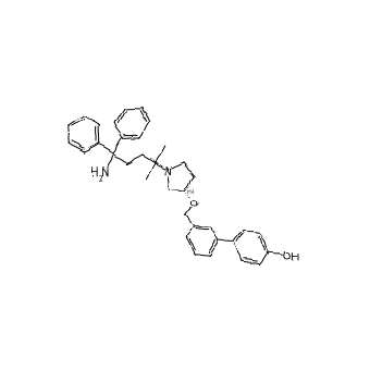 CC(C)(CCC(N)(c1ccccc1)c1ccccc1)N1CC[C@H](OCc2cccc(-c3ccc(O)cc3)c2)C1